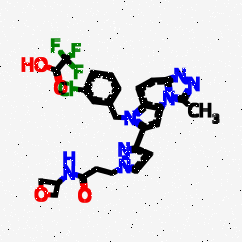 Cc1nnc2ccc3c(cc(-c4ccn(CCC(=O)NC5COC5)n4)n3Cc3cccc(Cl)c3)n12.O=C(O)C(F)(F)F